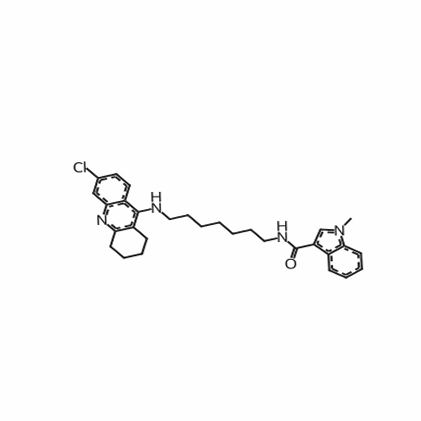 Cn1cc(C(=O)NCCCCCCCNc2c3c(nc4cc(Cl)ccc24)CCCC3)c2ccccc21